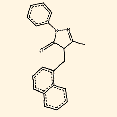 CC1=NN(c2ccccc2)C(=O)C1Cc1cccc2ccccc12